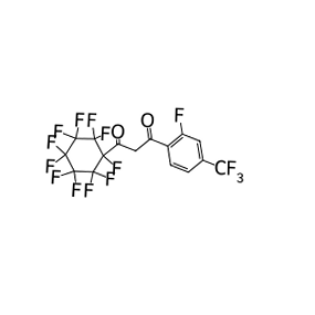 O=C(CC(=O)C1(F)C(F)(F)C(F)(F)C(F)(F)C(F)(F)C1(F)F)c1ccc(C(F)(F)F)cc1F